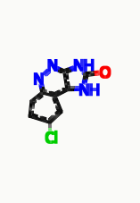 O=c1[nH]c2nnc3ccc(Cl)cc3c2[nH]1